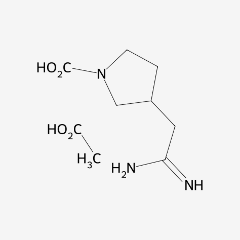 CC(=O)O.N=C(N)CC1CCN(C(=O)O)C1